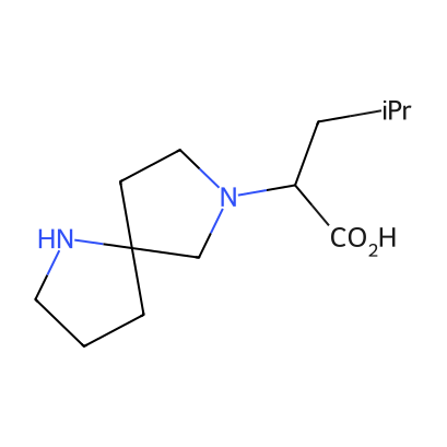 CC(C)CC(C(=O)O)N1CCC2(CCCN2)C1